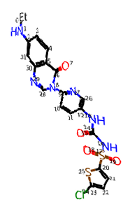 CCNc1ccc2c(=O)n(-c3ccc(NC(=O)NS(=O)(=O)c4ccc(Cl)s4)cn3)cnc2c1